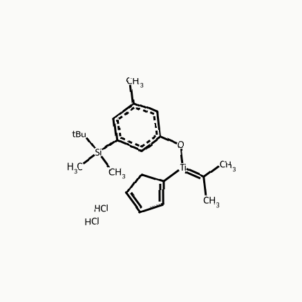 C[C](C)=[Ti]([O]c1cc(C)cc([Si](C)(C)C(C)(C)C)c1)[C]1=CC=CC1.Cl.Cl